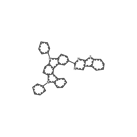 c1ccc(-n2c3ccccc3c3c4c5cc(-c6ncc7c(n6)sc6ccccc67)ccc5n(-c5ccccc5)c4ccc32)cc1